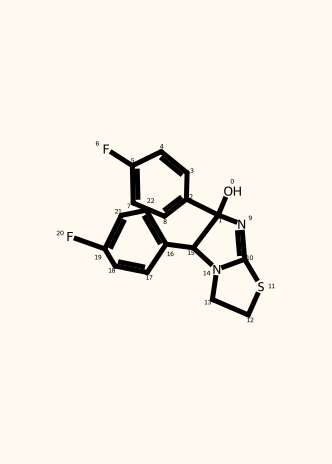 OC1(c2ccc(F)cc2)N=C2SCCN2C1c1ccc(F)cc1